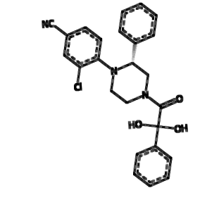 N#Cc1ccc(N2CCN(C(=O)C(O)(O)c3ccccc3)C[C@H]2c2ccccc2)c(Cl)c1